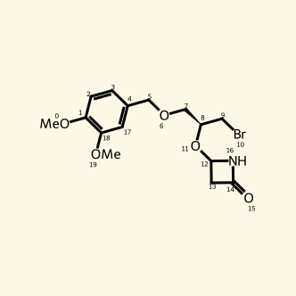 COc1ccc(COC[C@@H](CBr)OC2CC(=O)N2)cc1OC